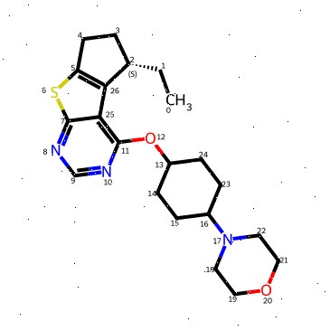 CC[C@H]1CCc2sc3ncnc(OC4CCC(N5CCOCC5)CC4)c3c21